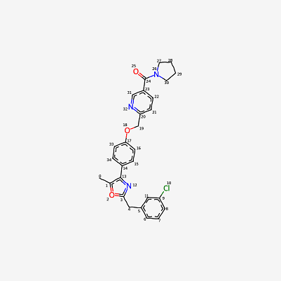 Cc1oc(Cc2cccc(Cl)c2)nc1-c1ccc(OCc2ccc(C(=O)N3CCCC3)cn2)cc1